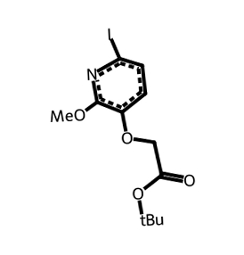 COc1nc(I)ccc1OCC(=O)OC(C)(C)C